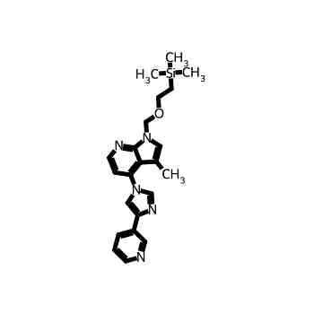 Cc1cn(COCC[Si](C)(C)C)c2nccc(-n3cnc(-c4cccnc4)c3)c12